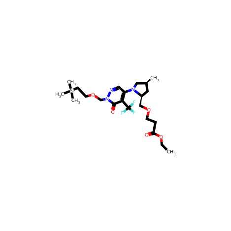 CCOC(=O)CCOC[C@@H]1C[C@H](C)CN1c1cnn(COCC[Si](C)(C)C)c(=O)c1C(F)(F)F